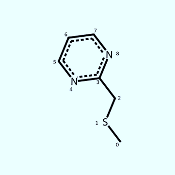 CSCc1ncccn1